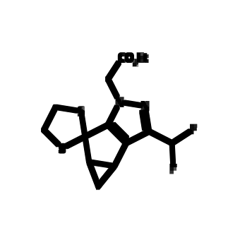 CCOC(=O)Cn1nc(C(F)F)c2c1C1(SCCS1)C1CC21